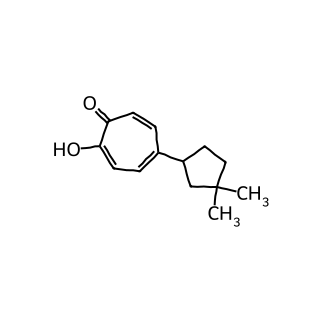 CC1(C)CCC(c2ccc(O)c(=O)cc2)C1